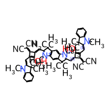 CN1C(=CC2=C(O)C(=CC3=[N+](C)c4cc5c(cc4C3(C)C)[N+](C)=C(/C=C3C(O)=C(/C=C4/N(C)c6ccccc6C4(C)C)C\3=C(C#N)C#N)C5(C)C)C2=C(C#N)C#N)C(C)(C)c2ccccc21